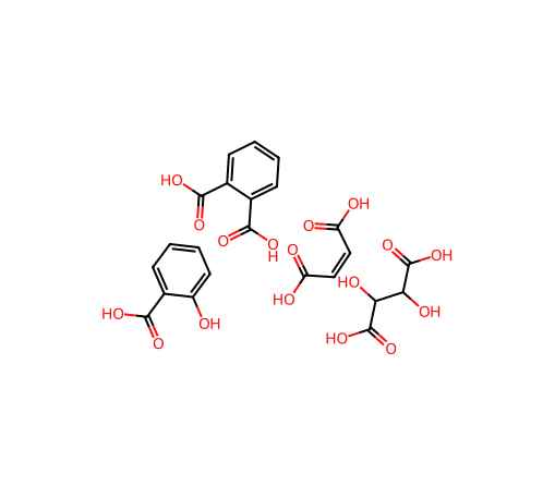 O=C(O)/C=C\C(=O)O.O=C(O)C(O)C(O)C(=O)O.O=C(O)c1ccccc1C(=O)O.O=C(O)c1ccccc1O